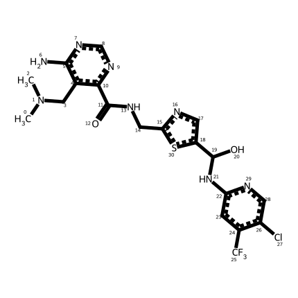 CN(C)Cc1c(N)ncnc1C(=O)NCc1ncc(C(O)Nc2cc(C(F)(F)F)c(Cl)cn2)s1